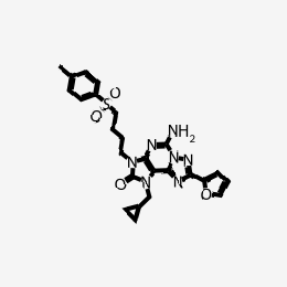 Cc1ccc(S(=O)(=O)CCCCn2c(=O)n(CC3CC3)c3c2nc(N)n2nc(-c4ccco4)nc32)cc1